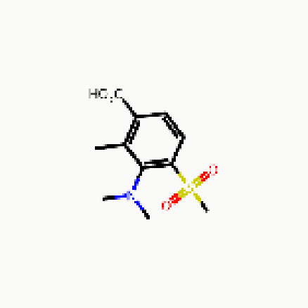 Cc1c(C(=O)O)ccc(S(C)(=O)=O)c1N(C)C